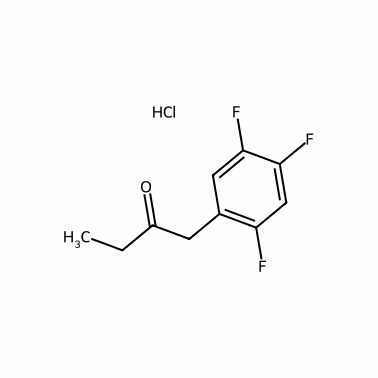 CCC(=O)Cc1cc(F)c(F)cc1F.Cl